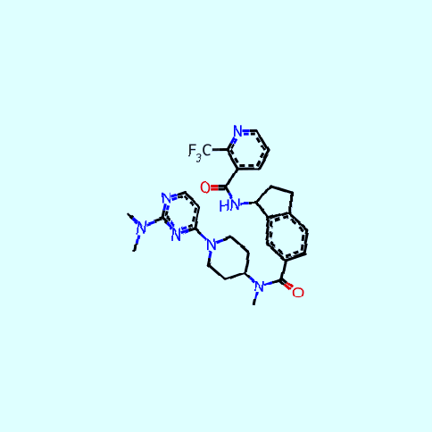 CN(C)c1nccc(N2CCC(N(C)C(=O)c3ccc4c(c3)C(NC(=O)c3cccnc3C(F)(F)F)CC4)CC2)n1